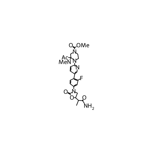 CNC1(C(C)=O)CN(C(=O)OC)CCN1c1ccc(-c2ccc(N3CC(C(C)C(N)=O)OC3=O)cc2F)cn1